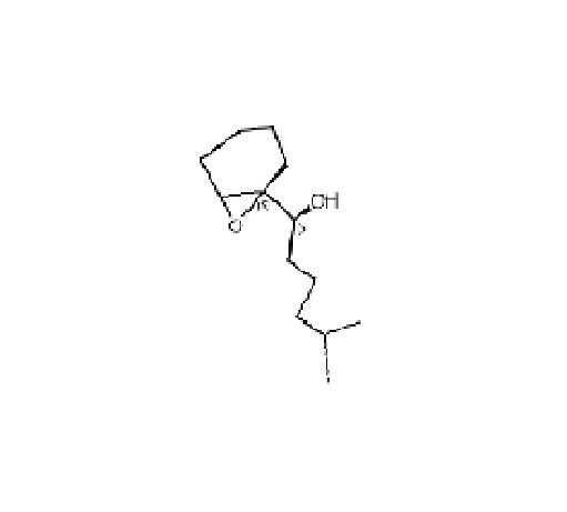 CC(C)CCC[C@H](O)[C@@]12CCCCC1O2